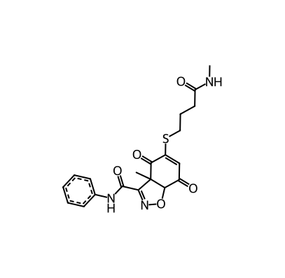 CNC(=O)CCCSC1=CC(=O)C2ON=C(C(=O)Nc3ccccc3)C2(C)C1=O